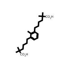 Cc1c(CCCCC(C)(C)C(=O)O)cccc1CCCCC(C)(C)C(=O)O